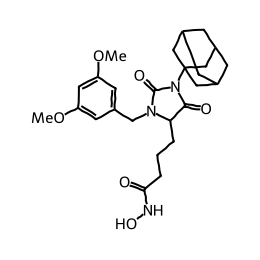 COc1cc(CN2C(=O)N(C34CC5CC(CC(C5)C3)C4)C(=O)C2CCCC(=O)NO)cc(OC)c1